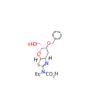 CCN(C(=O)O)C1=N[C@@H]2C[C@H](OCc3ccccc3)[C@@H](CO)O[C@@H]2S1